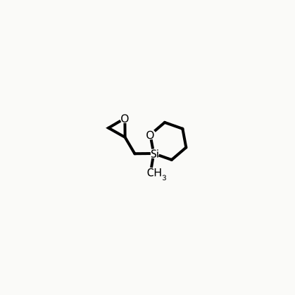 C[Si]1(CC2CO2)CCCCO1